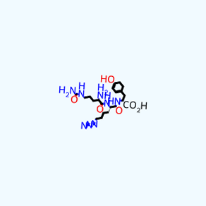 [N-]=[N+]=NCCCC[C@H](NC(=O)[C@@H](N)CCCNC(N)=O)C(=O)N[C@@H](CC1=CC=C(O)CC1)C(=O)O